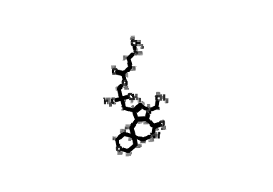 CCn1cc(CC(C)(C)COC(=O)CCSC)c2c1C(=O)NCC1(CCOCC1)C2